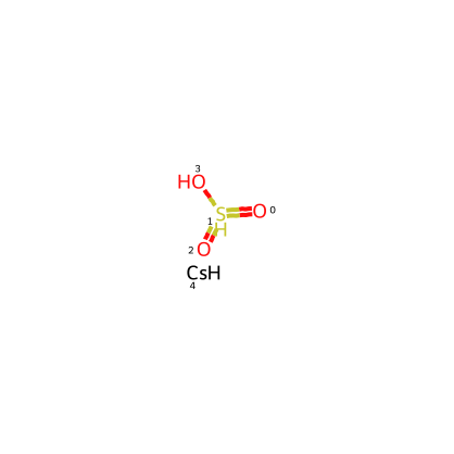 O=[SH](=O)O.[CsH]